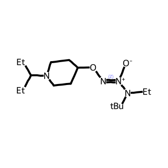 CCC(CC)N1CCC(O/N=[N+](\[O-])N(CC)C(C)(C)C)CC1